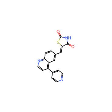 O=C1NC(=O)/C(=C/c2ccc3nccc(-c4ccncc4)c3c2)S1